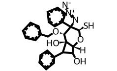 [N-]=[N+]=NC1(c2ccccc2)[C@@H](OCc2ccccc2)[C@@]2(O)C(c3ccccc3)C(O)[C@H]2O[C@@H]1S